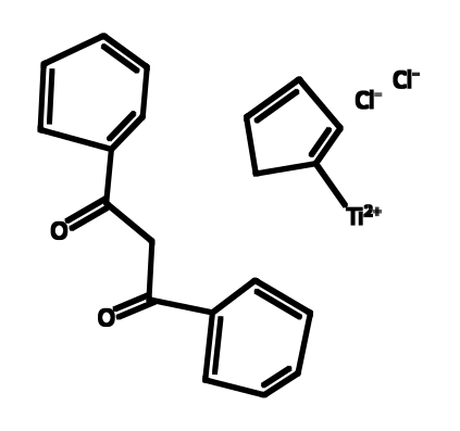 O=C(CC(=O)c1ccccc1)c1ccccc1.[Cl-].[Cl-].[Ti+2][C]1=CC=CC1